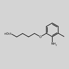 CCCCCCCCCCCCOc1cccc(C)c1N